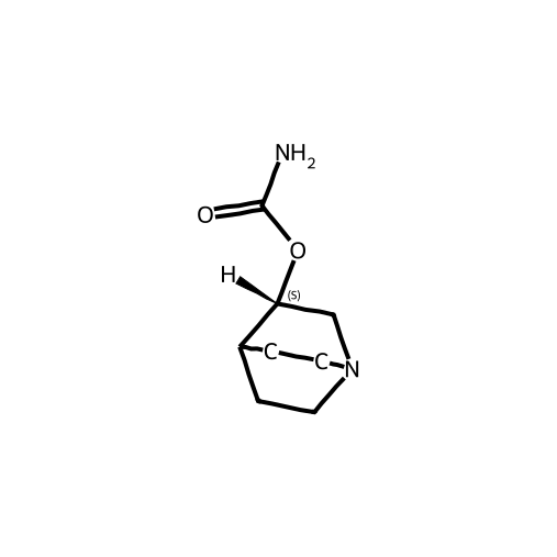 NC(=O)O[C@@H]1CN2CCC1CC2